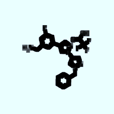 NCc1cc(F)cc(-c2cnn(-c3cnn(Cc4ccccc4)c3)c2)c1.O=C(O)C(F)(F)F